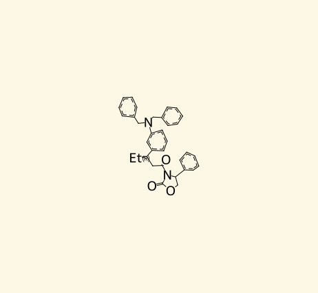 CC[C@H](CC(=O)N1C(=O)OCC1c1ccccc1)c1cccc(N(Cc2ccccc2)Cc2ccccc2)c1